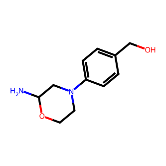 NC1CN(c2ccc(CO)cc2)CCO1